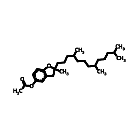 CC(=O)Oc1ccc2c(c1)CC(C)(CCCC(C)CCCC(C)CCCC(C)C)O2